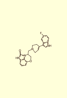 O=c1[nH]c2cccc3c2n1C(CN1CC=C(c2c[nH]c4ccc(F)cc24)CC1)CO3